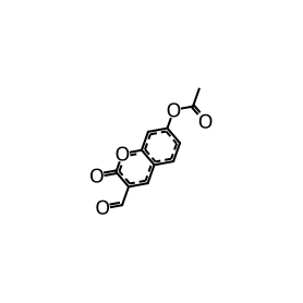 CC(=O)Oc1ccc2cc(C=O)c(=O)oc2c1